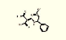 O=C(O)C(=CNC(C[N+](=O)[O-])c1ccccc1)C(=O)O